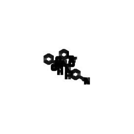 N#Cc1ccc(NC(=O)N(NS(=O)(=O)c2ccccc2)c2ccccc2Br)cc1